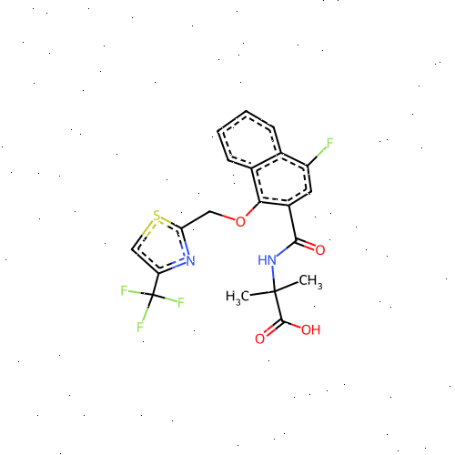 CC(C)(NC(=O)c1cc(F)c2ccccc2c1OCc1nc(C(F)(F)F)cs1)C(=O)O